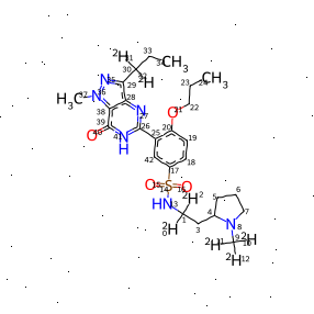 [2H]C([2H])(CC1CCCN1C([2H])([2H])[2H])NS(=O)(=O)c1ccc(OCCC)c(-c2nc3c(C([2H])([2H])CC)nn(C)c3c(=O)[nH]2)c1